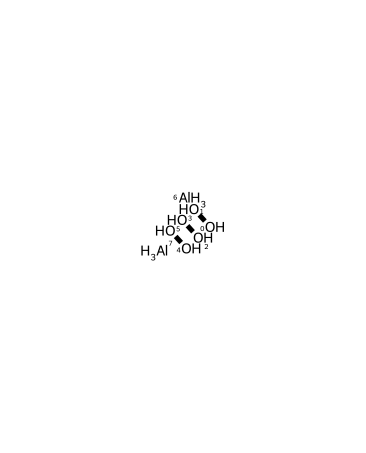 OO.OO.OO.[AlH3].[AlH3]